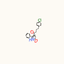 O=C1C[C@H](C(=O)CCCc2ccc(Cl)cc2)[C@@H](c2ccccc2)N1